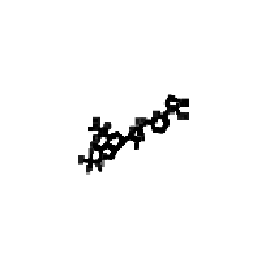 CNS(=O)(=O)c1cc(-c2sc(Nc3cccc(N4CCNC4O)n3)nc2C)cc2c1C(=O)N([C@@H](C)C(F)(F)F)C2